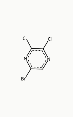 Clc1ncc(Br)nc1Cl